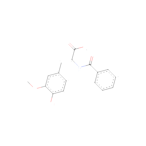 COc1cc(C[C@@H](NC(=O)c2ccccc2)C(=O)O)ccc1O